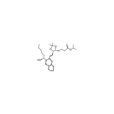 CCCCC[C@H](O)c1cc2ccccc2nc1/C=C/[C@H]1OC(C)(C)O[C@H]1CCCC(=O)OC(C)C